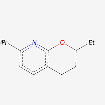 CCC1CCc2ccc(C(C)C)nc2O1